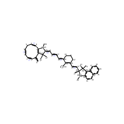 C=C1/C=C\C=C/C/C=C\C2=C1C(C)(C)\C(=C/C=C/C=C1\CCCC(/C=C/C3(C)N(C)c4ccc5ccccc5c4C3(C)C)=C1Cl)N2C